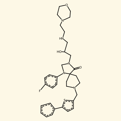 O=C1N(CC(O)CNCCN2CCOCC2)CN(c2ccc(F)cc2)C12CCN(Cc1ccc(-c3ccccc3)s1)CC2